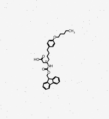 CCCCCOc1ccc(CCCC[C@H](CC(=O)O)NC(=O)OCC2c3ccccc3-c3ccccc32)cc1